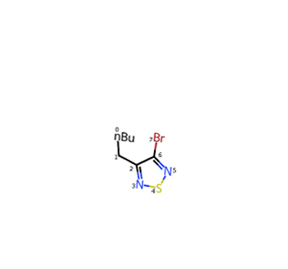 CCCCCc1nsnc1Br